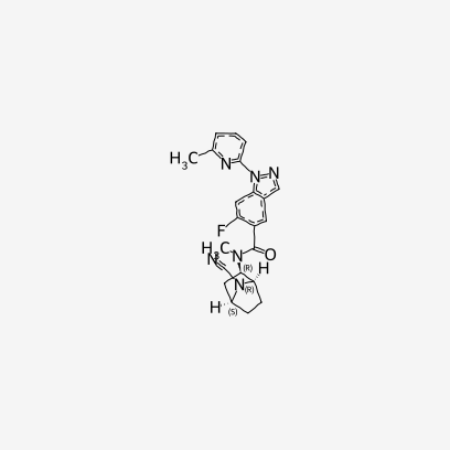 Cc1cccc(-n2ncc3cc(C(=O)N(C)[C@@H]4C[C@@H]5CC[C@H]4N5C#N)c(F)cc32)n1